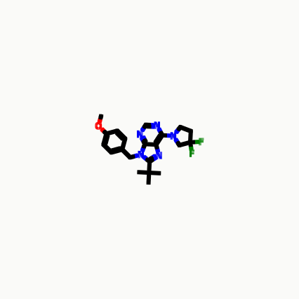 COc1ccc(Cn2c(C(C)(C)C)nc3c(N4CCC(F)(F)C4)ncnc32)cc1